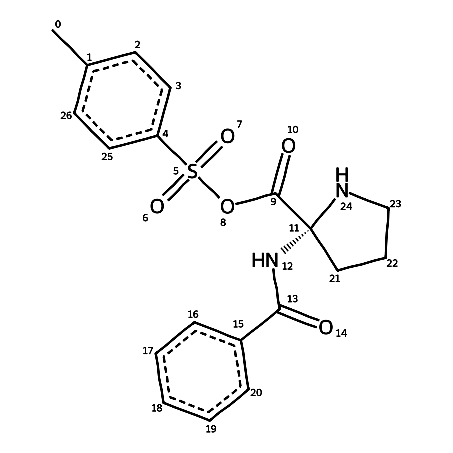 Cc1ccc(S(=O)(=O)OC(=O)[C@]2(NC(=O)c3ccccc3)CCCN2)cc1